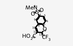 CNS(=O)(=O)c1ccc2c(c1)C=C(C(=O)O)C(C(F)(F)F)O2